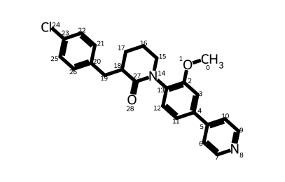 COc1cc(-c2ccncc2)ccc1N1CCCC(Cc2ccc(Cl)cc2)C1=O